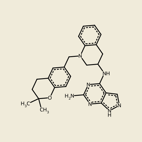 CC1(C)CCc2cc(CN3CC(Nc4nc(N)nc5[nH]ncc45)Cc4ccccc43)ccc2O1